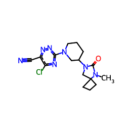 CN1C(=O)N(C2CCCN(c3nnc(C#N)c(Cl)n3)C2)CC12CCC2